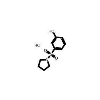 Cl.O=S(=O)(c1cccc(O)c1)N1CCCC1